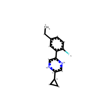 CCc1ccc(F)c(-c2cnc(C3CC3)cn2)c1